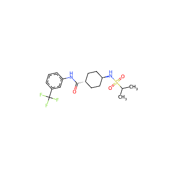 CC(C)S(=O)(=O)N[C@H]1CC[C@H](C(=O)Nc2cccc(C(F)(F)F)c2)CC1